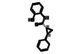 O=C(Nc1ccccc1O)[C@@H]1C[C@H]1C1C=CC=CC1